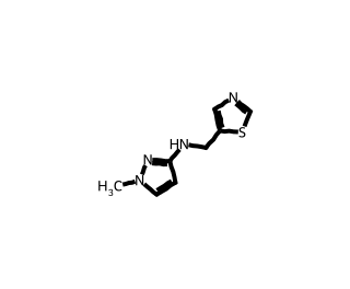 Cn1ccc(NCc2cncs2)n1